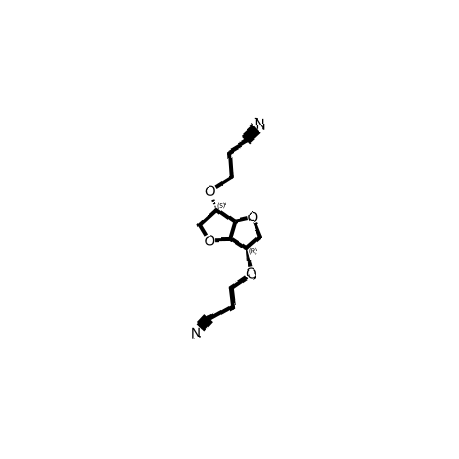 N#CCCO[C@H]1COC2C1OC[C@H]2OCCC#N